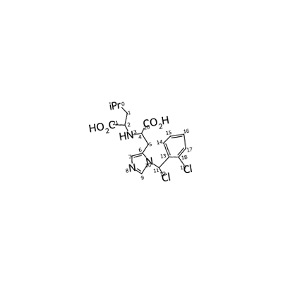 CC(C)CC(NC(Cc1cncn1C(Cl)c1ccccc1Cl)C(=O)O)C(=O)O